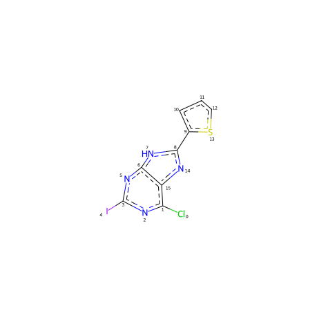 Clc1nc(I)nc2[nH]c(-c3cccs3)nc12